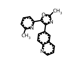 Cc1cccc(-c2oc(C)nc2-c2ccc3ncccc3c2)n1